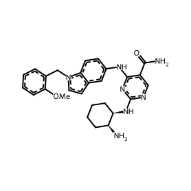 COc1ccccc1Cn1ccc2cc(Nc3nc(N[C@@H]4CCCC[C@@H]4N)ncc3C(N)=O)ccc21